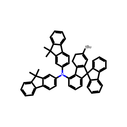 CC(C)(C)C1=CC2=C(CC1)c1c(N(c3ccc4c(c3)C(C)(C)c3ccccc3-4)c3ccc4c(c3)C(C)(C)c3ccccc3-4)cccc1C21c2ccccc2-c2ccccc21